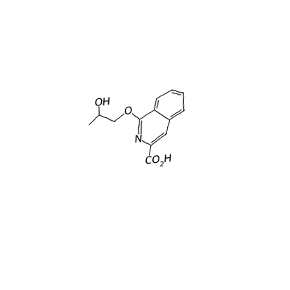 CC(O)COc1nc(C(=O)O)cc2ccccc12